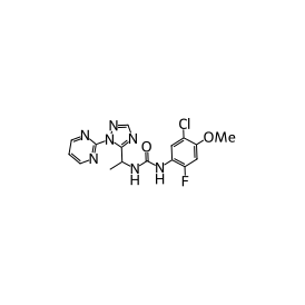 COc1cc(F)c(NC(=O)NC(C)c2ncnn2-c2ncccn2)cc1Cl